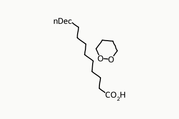 C1CCOOC1.CCCCCCCCCCCCCCCCCCC(=O)O